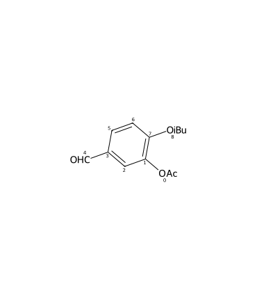 CC(=O)Oc1cc(C=O)ccc1OCC(C)C